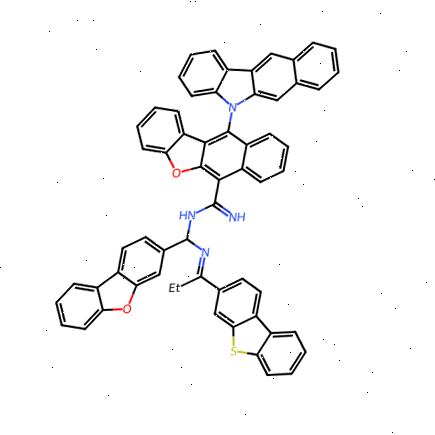 CC/C(=N\C(NC(=N)c1c2ccccc2c(-n2c3ccccc3c3cc4ccccc4cc32)c2c1oc1ccccc12)c1ccc2c(c1)oc1ccccc12)c1ccc2c(c1)sc1ccccc12